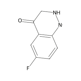 O=C1CN[N]c2ccc(F)cc21